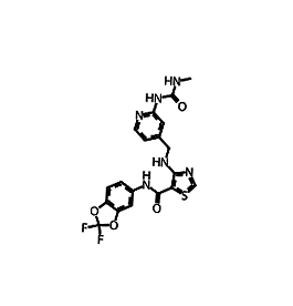 CNC(=O)Nc1cc(CNc2ncsc2C(=O)Nc2ccc3c(c2)OC(F)(F)O3)ccn1